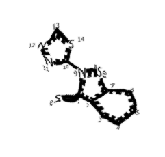 S=c1c2ccccc2[se]n1-c1nncs1